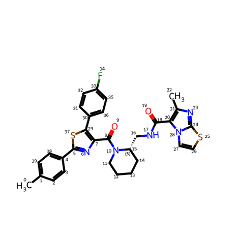 Cc1ccc(-c2nc(C(=O)N3CCCC[C@H]3CNC(=O)c3c(C)nc4sccn34)c(-c3ccc(F)cc3)s2)cc1